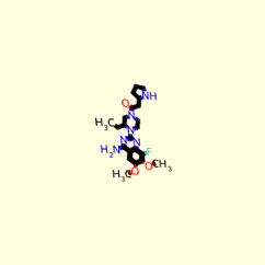 CCC1CN(C(=O)CC2CCCN2)CCN1c1nc(N)c2cc(OC)c(OC)c(F)c2n1